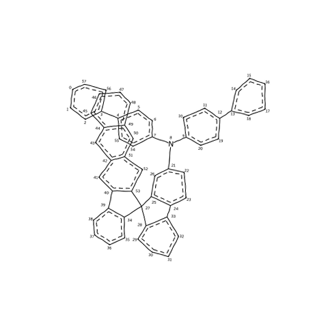 c1ccc(-c2ccc(N(c3ccc(-c4ccccc4)cc3)c3ccc4c(c3)C3(c5ccccc5-4)c4ccccc4-c4cc5cc6ccccc6cc5cc43)cc2)cc1